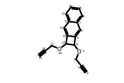 C#CCOC1c2cc3ccccc3cc2C1OCC#C